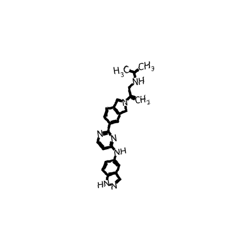 C=C(CNC(C)C)N1Cc2ccc(-c3nccc(Nc4ccc5[nH]ncc5c4)n3)cc2C1